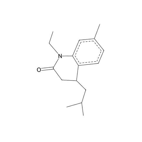 CCN1C(=O)CC(CC(C)C)c2ccc(C)cc21